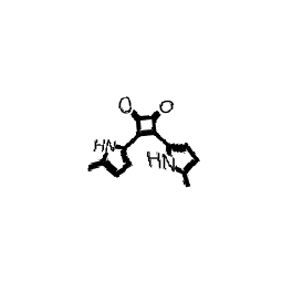 Cc1ccc(-c2c(-c3ccc(C)[nH]3)c(=O)c2=O)[nH]1